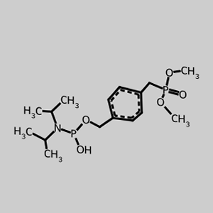 COP(=O)(Cc1ccc(COP(O)N(C(C)C)C(C)C)cc1)OC